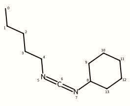 CCCCCN=C=NC1CCCCC1